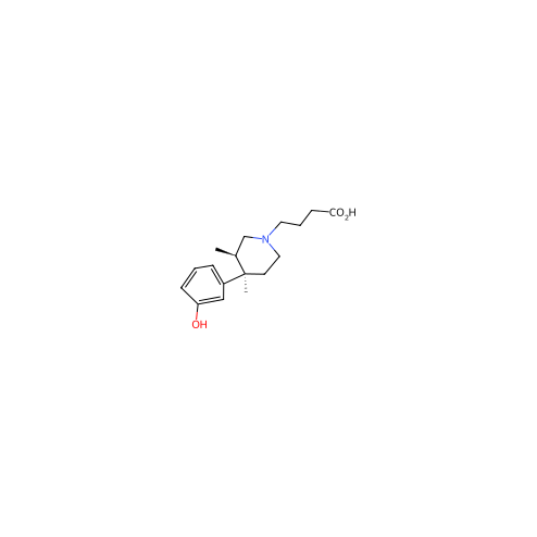 C[C@H]1CN(CCCC(=O)O)CC[C@@]1(C)c1cccc(O)c1